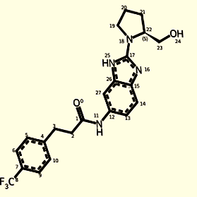 O=C(CCc1ccc(C(F)(F)F)cc1)Nc1ccc2nc(N3CCC[C@H]3CO)[nH]c2c1